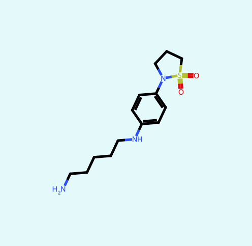 NCCCCCNc1ccc(N2CCCS2(=O)=O)cc1